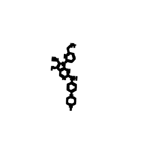 CCC(C)c1c(F)c2cnc(Nc3ccc(N4CCN(C)CC4)cc3)nc2n1-c1cccc(CC(C)C)n1